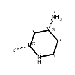 C[C@@H]1C[C@H](N)CCN1